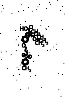 Cc1ccc(S(=O)(=O)CCCOc2ccc(CC(C)(NC(=O)OC(C)(C)C)C(=O)O)cc2)cc1